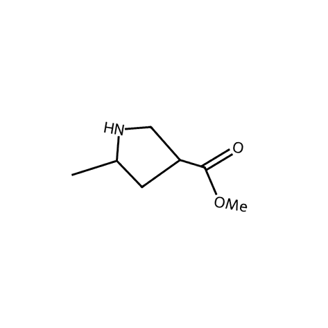 COC(=O)C1CNC(C)C1